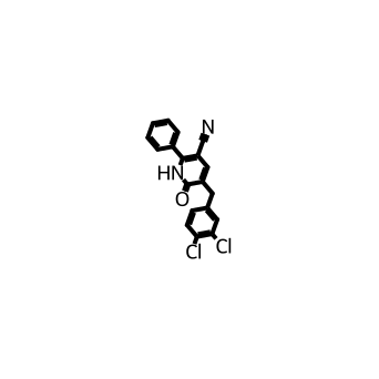 N#Cc1cc(Cc2ccc(Cl)c(Cl)c2)c(=O)[nH]c1-c1ccccc1